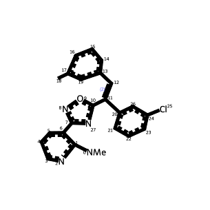 CNc1ncccc1-c1noc(/C(=C\c2cccc(C)c2)c2cccc(Cl)c2)n1